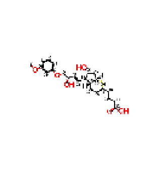 COc1cccc(OC[C@H](O)/C=C/[C@@H]2[C@H]3CCC(CCCC(=O)O)S[C@H]3C[C@H]2O)c1